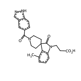 Cc1cccc2c1C1(CCN(C(=O)c3ccc4[nH]ncc4c3)CC1)C(=O)N2CCC(=O)O